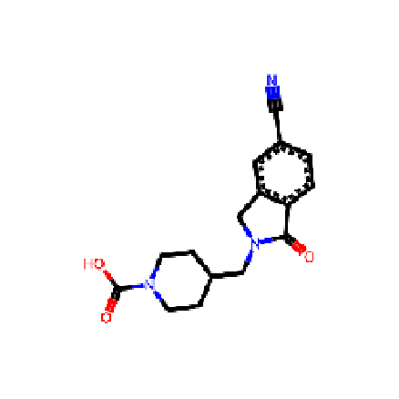 N#Cc1ccc2c(c1)CN(CC1CCN(C(=O)O)CC1)C2=O